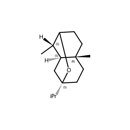 CC(C)[C@@]12CC[C@@]3(C)CCC(O1)[C@@H](C)[C@@H]3C2